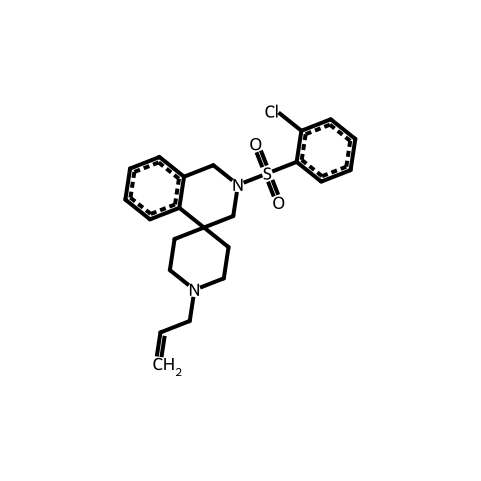 C=CCN1CCC2(CC1)CN(S(=O)(=O)c1ccccc1Cl)Cc1ccccc12